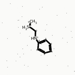 C[SiH2]CNc1ccccc1